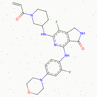 C=CC(=O)N1CCCC(Nc2nc(Nc3ccc(N4CCOCC4)cc3F)c3c(c2F)CNC3=O)C1